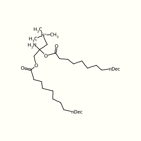 CCCCCCCCCCCCCCCCCC(=O)OCC(N)(C[N+](C)(C)C)OC(=O)CCCCCCCCCCCCCCCCC